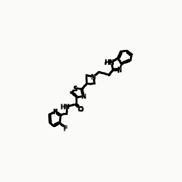 O=C(NCc1ncccc1F)c1csc(C2CN(CCc3nc4ccccc4[nH]3)C2)n1